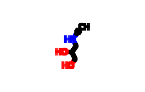 C#CNCC(O)CO